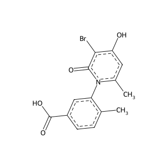 Cc1ccc(C(=O)O)cc1-n1c(C)cc(O)c(Br)c1=O